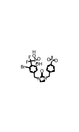 CS(=O)(=O)c1ccc(Cn2ccn(Cc3ccc(C(F)(F)P(=O)(O)O)c(Br)c3)c2=O)cc1